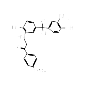 COc1ccc(C(=O)CNc2cc(C(c3ccc(O)c(N)c3)(C(F)(F)F)C(F)(F)F)ccc2O)cc1